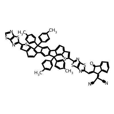 Cc1ccc(C2(c3ccc(C)cc3)c3cc4c(cc3-c3ccc5cc(-c6nc7scnc7s6)sc5c32)C(c2ccc(C)cc2)(c2ccc(C)cc2)c2c-4ccc3cc(-c4nc5sc(/C=C6\C(=O)c7ccccc7C6=C(C#N)C#N)nc5s4)sc23)cc1